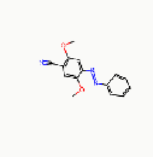 COc1cc(N=Nc2ccccc2)c(OC)cc1C#N